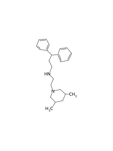 CC1CC(C)CN(CCNCCC(c2ccccc2)c2ccccc2)C1